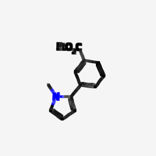 CCOC(=O)c1cccc(-c2cccn2C)c1